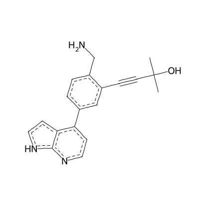 CC(C)(O)C#Cc1cc(-c2ccnc3[nH]ccc23)ccc1CN